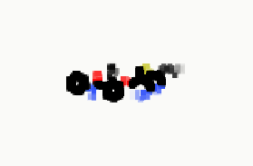 Cc1c(OCc2csc3c(C(=O)O)cnc(N)c23)cccc1C(=O)Nc1ccccc1